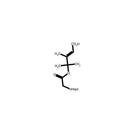 CCCCCCCCC(=O)OC(C)(C)C(C)=CC(=O)O